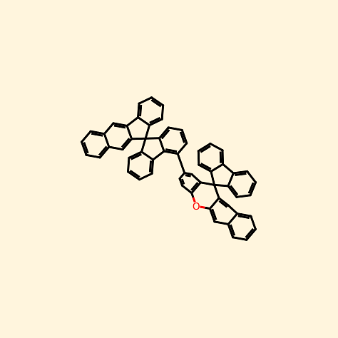 c1ccc2c(c1)-c1ccccc1C21c2cc(-c3cccc4c3-c3ccccc3C43c4ccccc4-c4cc5ccccc5cc43)ccc2Oc2cc3ccccc3cc21